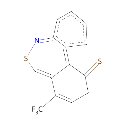 FC(F)(F)C1=CCC(=S)C2=c3ccccc3=NSC=C12